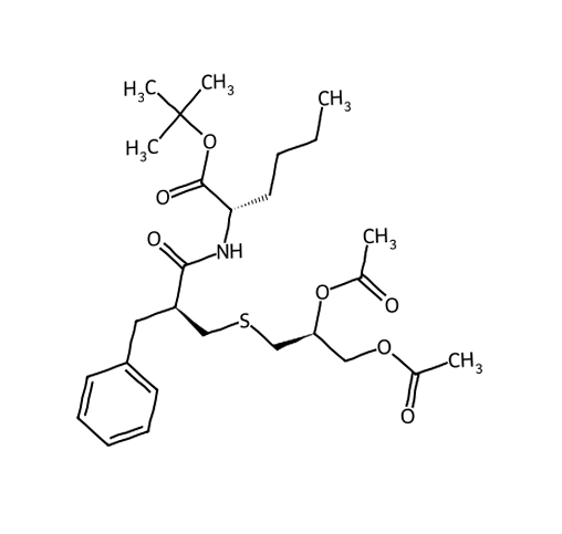 CCCC[C@H](NC(=O)[C@@H](CSC[C@H](COC(C)=O)OC(C)=O)Cc1ccccc1)C(=O)OC(C)(C)C